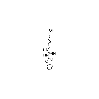 N=C(NCCSSCCO)NC(=O)Oc1ccccc1